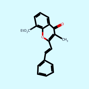 CCOC(=O)c1cccc2c(=O)c(C)c(C=Cc3ccccc3)oc12